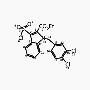 CCOC(=O)c1c(S(=O)(=O)Cl)c2ccccc2n1Cc1ccc(Cl)c(Cl)c1